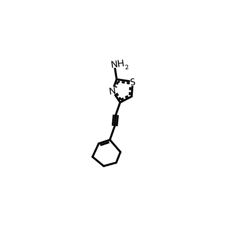 Nc1nc(C#CC2=CCCCC2)cs1